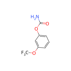 NC(=O)Oc1cccc(OC(F)(F)F)c1